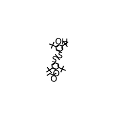 CCC(=O)Oc1c(C(C)(C)C)cc(SC(C)(C)Sc2cc(C(C)(C)C)c(O)c(C(C)(C)C)c2)cc1C(C)(C)C